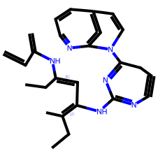 C=CC(=C)N/C(=C/C(NC1=NC#CCC(N2C=CC3=C=C2N=CC=C3)=N1)=C(\C)CC)CC